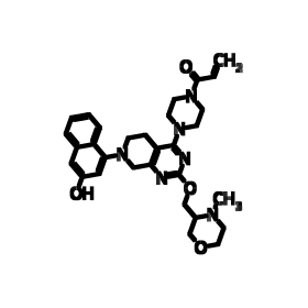 C=CC(=O)N1CCN(c2nc(OCC3COCCN3C)nc3c2CCN(c2cc(O)cc4ccccc24)C3)CC1